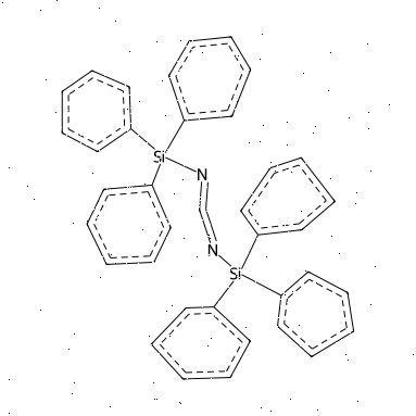 C(=N[Si](c1ccccc1)(c1ccccc1)c1ccccc1)=N[Si](c1ccccc1)(c1ccccc1)c1ccccc1